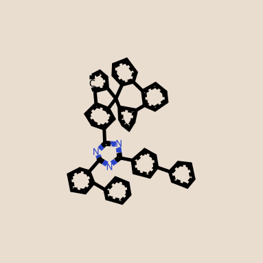 c1ccc(-c2ccc(-c3nc(-c4ccc5c(c4)C4(c6ccccc6-c6ccccc6-c6ccccc64)c4ccccc4-5)nc(-c4ccccc4-c4ccccc4)n3)cc2)cc1